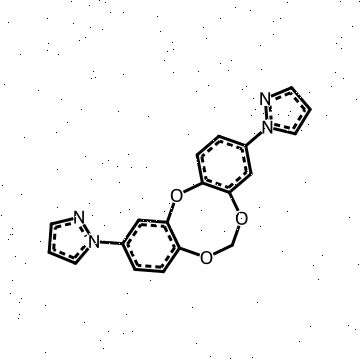 c1cnn(-c2ccc3c(c2)OCOc2ccc(-n4cccn4)cc2O3)c1